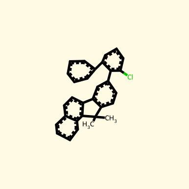 CC1(C)c2ccc(-c3c(Cl)cccc3-c3ccccc3)cc2-c2ccc3ccccc3c21